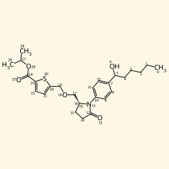 CCCCCC(O)c1ccc(N2C(=O)CC[C@H]2COCc2ccc(C(=O)OC(C)C)s2)cc1